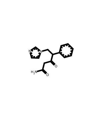 NC(=O)CC(=O)C(Cn1ccnc1)c1ccccc1